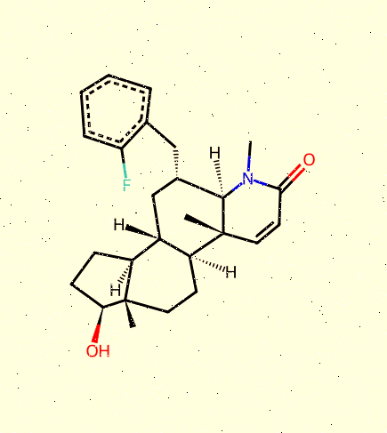 CN1C(=O)C=C[C@]2(C)[C@H]3CC[C@]4(C)[C@@H](O)CC[C@H]4[C@@H]3C[C@H](Cc3ccccc3F)[C@@H]12